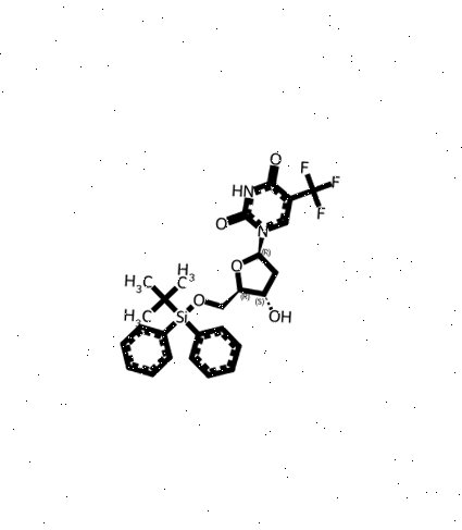 CC(C)(C)[Si](OC[C@H]1O[C@@H](n2cc(C(F)(F)F)c(=O)[nH]c2=O)C[C@@H]1O)(c1ccccc1)c1ccccc1